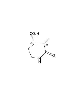 C[C@@H]1C(=O)NCC[C@@H]1C(=O)O